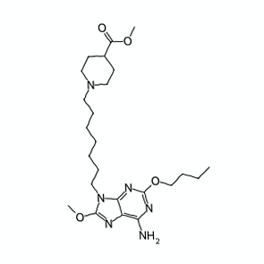 CCCCOc1nc(N)c2nc(OC)n(CCCCCCCN3CCC(C(=O)OC)CC3)c2n1